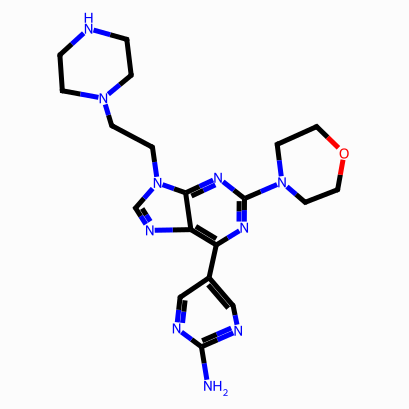 Nc1ncc(-c2nc(N3CCOCC3)nc3c2ncn3CCN2CCNCC2)cn1